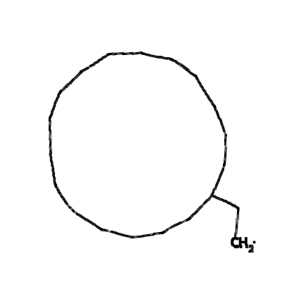 [CH2]CC1CCCCCCCCCCCCCCCCC1